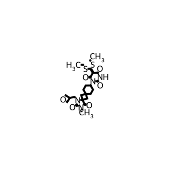 CCSC(SCC)=C1C(=O)NC(=O)N(C2CCC3(CC2)CC2(C3)C(=O)N(C)C(=O)N2CC2COC2)C1=O